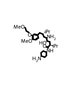 COCCCOc1cc(C[C@@H](C[C@H](N)[C@@H](O)C[C@H](C(=O)N[C@H]2CC[C@@H](N)CC2)C(C)C)C(C)C)ccc1OC